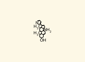 CC12CCC(O)CC1=CCC1(N)C2CCC2(C)C(c3cccnc3)=CCC21